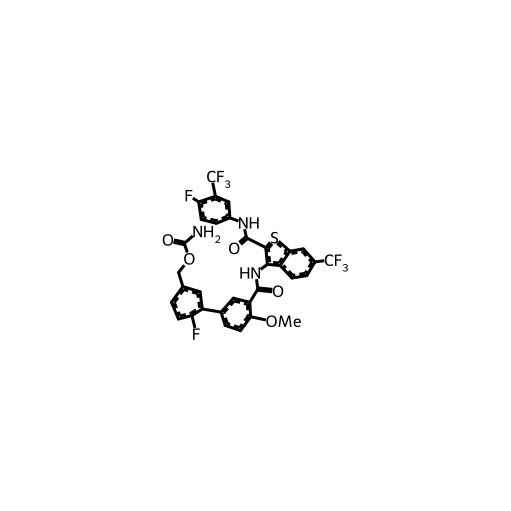 COc1ccc(-c2cc(COC(N)=O)ccc2F)cc1C(=O)Nc1c(C(=O)Nc2ccc(F)c(C(F)(F)F)c2)sc2cc(C(F)(F)F)ccc12